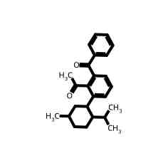 CC(=O)c1c(C(=O)c2ccccc2)cccc1C1CC(C)CCC1C(C)C